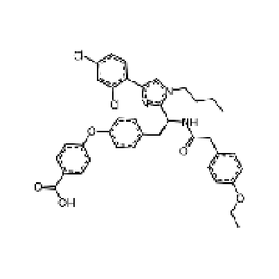 CCCCn1cc(-c2ccc(Cl)cc2Cl)nc1[C@H](Cc1ccc(Oc2ccc(C(=O)O)cc2)cc1)NC(=O)Cc1ccc(OCC)cc1